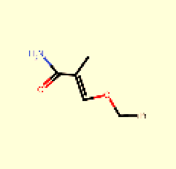 C/C(=C\OCC(C)C)C(N)=O